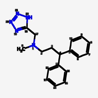 CN(CCC(c1ccccc1)c1ccccc1)Cc1nnn[nH]1